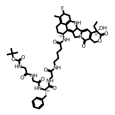 CC[C@@]1(O)C(=O)OCc2c1cc1n(c2=O)CC2=C3C4=C(CC(F)C(C)=C4CC[C@@H]3NC(=O)CCCCNC(=O)CNC(=O)[C@H](Cc3ccccc3)NC(=O)CNC(=O)CNC(=O)OC(C)(C)C)NC21